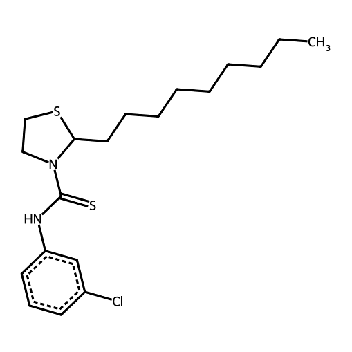 CCCCCCCCCC1SCCN1C(=S)Nc1cccc(Cl)c1